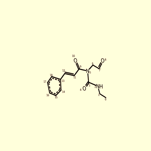 CCNC(=O)N(C[C]=O)C(=O)/C=C/c1ccccc1